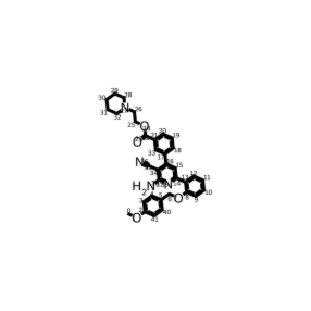 COc1ccc(COc2ccccc2-c2cc(-c3cccc(C(=O)OCCN4CCCCC4)c3)c(C#N)c(N)n2)cc1